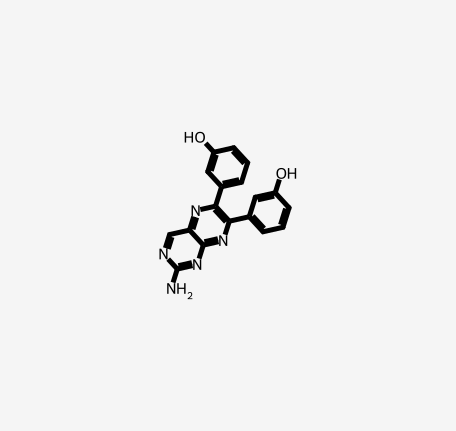 Nc1ncc2nc(-c3cccc(O)c3)c(-c3cccc(O)c3)nc2n1